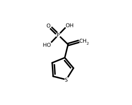 C=C(c1ccsc1)P(=O)(O)O